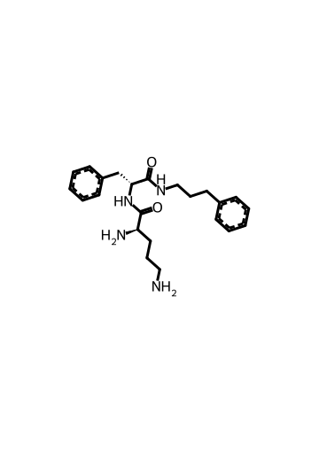 NCCC[C@@H](N)C(=O)N[C@H](Cc1ccccc1)C(=O)NCCCc1ccccc1